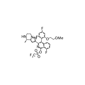 COCCOc1cc(F)cc(F)c1-c1c(-c2cc3n(n2)CCN[C@@H]3C)nc(OS(=O)(=O)C(F)(F)F)c2c(F)cccc12